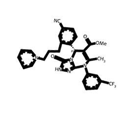 COC(=O)C1=C(C)N(c2cccc(C(F)(F)F)c2)c2n[nH]c(=O)n2[C@@H]1c1ccc(C#N)cc1CCC[n+]1ccccc1